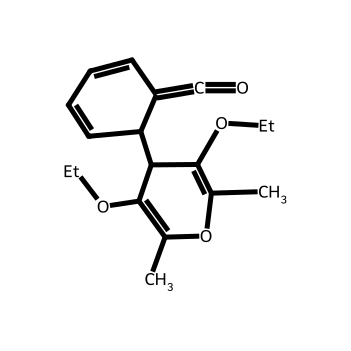 CCOC1=C(C)OC(C)=C(OCC)C1C1C=CC=CC1=C=O